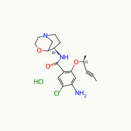 CC#C[C@H](C)Oc1cc(N)c(Cl)cc1C(=O)N[C@@H]1CCN2CCOC1C2.Cl